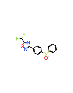 [O-][S+](c1ccccc1)c1ccc(-c2noc(C(F)F)n2)cc1